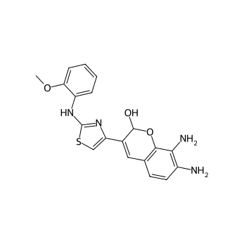 COc1ccccc1Nc1nc(C2=Cc3ccc(N)c(N)c3OC2O)cs1